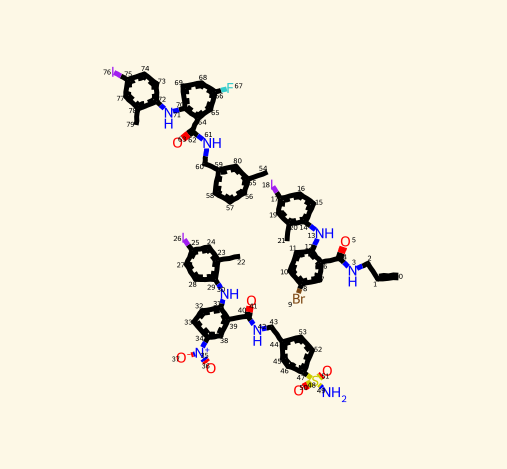 C=CCNC(=O)c1cc(Br)ccc1Nc1ccc(I)cc1C.Cc1cc(I)ccc1Nc1ccc([N+](=O)[O-])cc1C(=O)NCc1ccc(S(N)(=O)=O)cc1.Cc1cccc(CNC(=O)c2cc(F)ccc2Nc2ccc(I)cc2C)c1